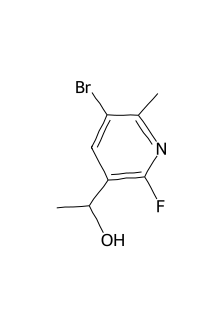 Cc1nc(F)c(C(C)O)cc1Br